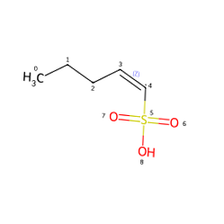 CCC/C=[C]\S(=O)(=O)O